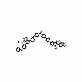 Nc1ncnc2c1c(-c1ccc(Oc3ccccc3)cc1)nn2[C@@H]1CCCN(CC2CCN(C(=O)N3CCC(C4CCN(c5ccc6c(c5)C(=O)N(C5CCC(=O)NC5=O)C6=O)CC4)CC3)CC2)C1